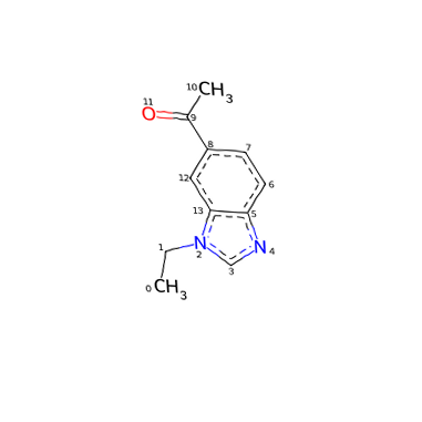 CCn1cnc2ccc(C(C)=O)cc21